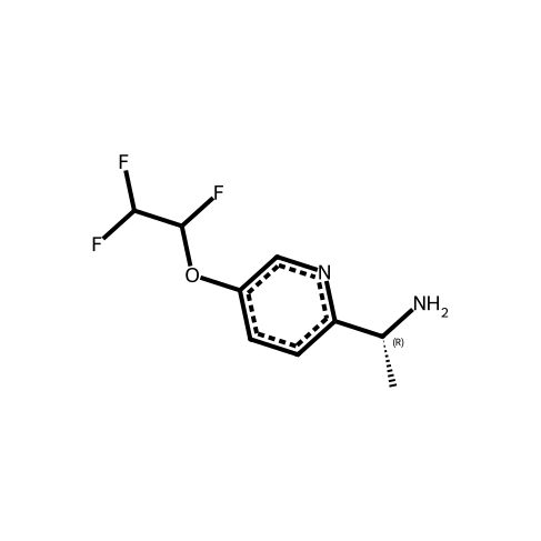 C[C@@H](N)c1ccc(OC(F)C(F)F)cn1